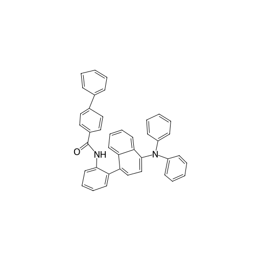 O=C(Nc1ccccc1-c1ccc(N(c2ccccc2)c2ccccc2)c2ccccc12)c1ccc(-c2ccccc2)cc1